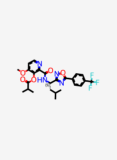 COc1ccnc(C(=O)N[C@@H](CC(C)C)c2noc(-c3ccc(C(F)(F)F)cc3)n2)c1OC(=O)C(C)C